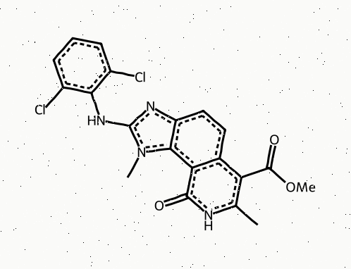 COC(=O)c1c(C)[nH]c(=O)c2c1ccc1nc(Nc3c(Cl)cccc3Cl)n(C)c12